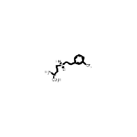 N=S(=O)(CCc1cccc(C(F)(F)F)c1)CC[C@H](N)C(=O)O